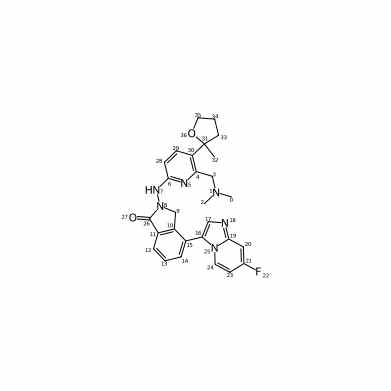 CN(C)Cc1nc(NN2Cc3c(cccc3-c3cnc4cc(F)ccn34)C2=O)ccc1C1(C)CCCO1